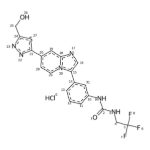 Cl.O=C(NCC(F)(F)F)Nc1cccc(-c2cnc3cc(-c4nnc(CO)s4)ccn23)c1